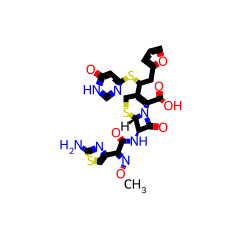 CON=C(C(=O)N[C@@H]1C(=O)N2C(C(=O)O)=C(C(Cc3ccco3)Sc3cc(=O)[nH]cn3)CS[C@@H]12)c1csc(N)n1